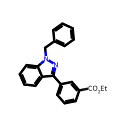 CCOC(=O)c1cccc(-c2nn(Cc3ccccc3)c3ccccc23)c1